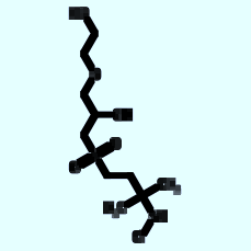 CC(C)(CCS(=O)(=O)CC(O)COCCO)NCl